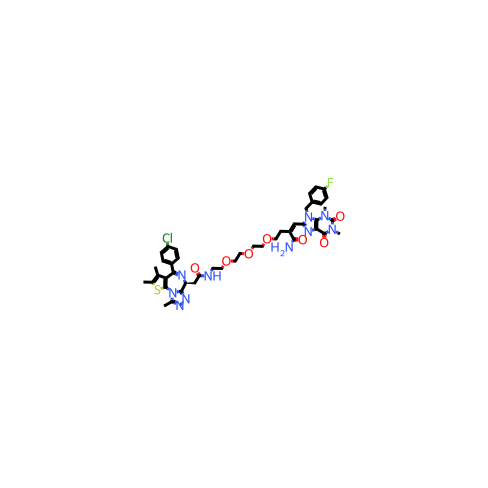 Cc1sc2c(c1C)C(c1ccc(Cl)cc1)=N[C@@H](CC(=O)NCCOCCOCCOCC/C(=C/c1nc3c(=O)n(C)c(=O)n(C)c3n1Cc1ccc(F)cc1)C(N)=O)c1nnc(C)n1-2